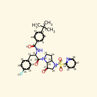 CC(C)(C)c1ccc(C(=O)NC(Cc2ccc(F)cc2)C(=O)N2CCC3C2C(=O)CN3S(=O)(=O)c2ccccn2)cc1